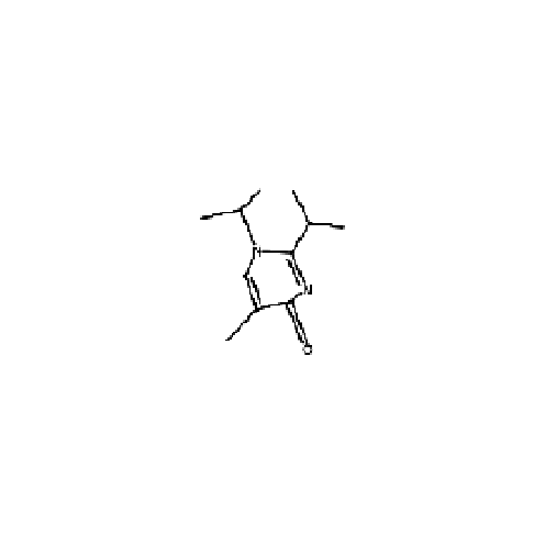 Cc1cn(C(C)C)c(C(C)C)nc1=O